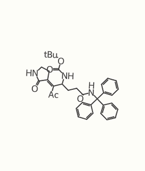 CC(=O)/C(=C1/CCNC1=O)C(CCC(=O)NC(c1ccccc1)(c1ccccc1)c1ccccc1)NC(=O)OC(C)(C)C